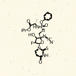 CC(C)OC(=O)[C@H](C)NP(=O)(OC[C@@]1(N=[N+]=[N-])O[C@@H](n2ccc(=O)[nH]c2=S)[C@@H](F)C1O)Oc1ccccc1